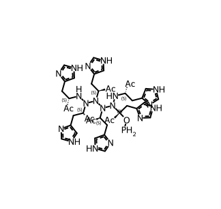 CC(=O)[C@H](Cc1c[nH]cn1)NN([C@@H](Cc1c[nH]cn1)C(C)=O)N([C@@H](Cc1c[nH]cn1)C(C)=O)N([C@@H](Cc1c[nH]cn1)C(C)=O)N(N[C@@H](Cc1c[nH]cn1)C(C)=O)[C@](Cc1c[nH]cn1)(OP)C(C)=O